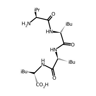 CC[C@H](C)[C@H](NC(=O)[C@@H](NC(=O)[C@@H](NC(=O)[C@@H](N)C(C)C)[C@@H](C)CC)[C@@H](C)CC)C(=O)O